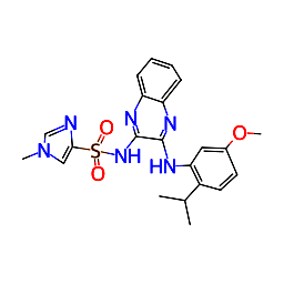 COc1ccc(C(C)C)c(Nc2nc3ccccc3nc2NS(=O)(=O)c2cn(C)cn2)c1